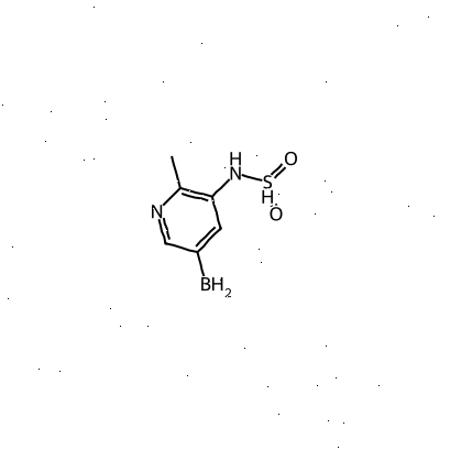 Bc1cnc(C)c(N[SH](=O)=O)c1